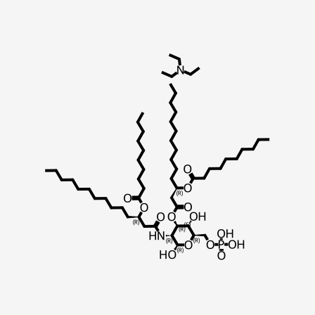 CCCCCCCCCCC[C@H](CC(=O)N[C@@H]1[C@@H](OC(=O)C[C@@H](CCCCCCCCCCC)OC(=O)CCCCCCCCC)[C@H](O)[C@@H](COP(=O)(O)O)O[C@H]1O)OC(=O)CCCCCCCCC.CCN(CC)CC